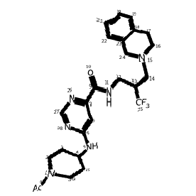 CC(=O)N1CCC(Nc2cc(C(=O)NCC(CN3CCc4ccccc4C3)C(F)(F)F)ncn2)CC1